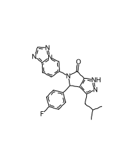 CC(C)Cc1n[nH]c2c1C(c1ccc(F)cc1)N(c1ccc3ncnn3c1)C2=O